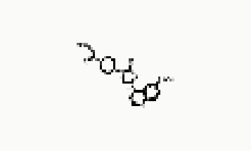 COc1ccc2nccc([C@H]3CN(C4CCN(C(=O)OC(C)(C)C)CC4)C(=O)O3)c2c1